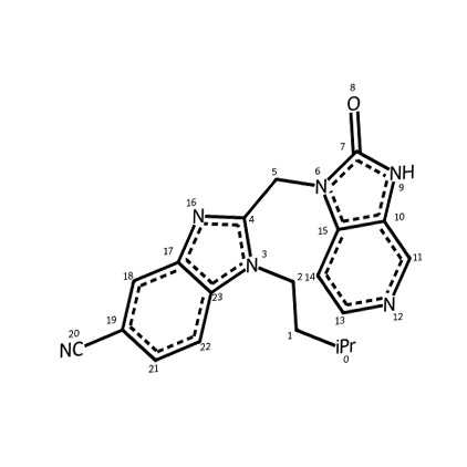 CC(C)CCn1c(Cn2c(=O)[nH]c3cnccc32)nc2cc(C#N)ccc21